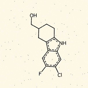 OCC1CCc2[nH]c3cc(Cl)c(F)cc3c2C1